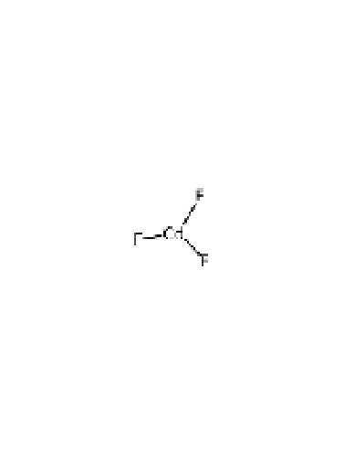 [F][Cd]([F])[F]